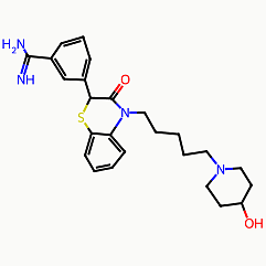 N=C(N)c1cccc(C2Sc3ccccc3N(CCCCCN3CCC(O)CC3)C2=O)c1